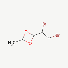 CC1OC(C(Br)CBr)O1